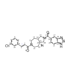 O=C(/C=C/c1cccc(Cl)c1)N1CCC2CN(C(=O)c3ccc4[nH]nnc4c3)C[C@H]2CC1